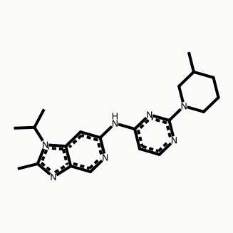 Cc1nc2cnc(Nc3ccnc(N4CCCC(C)C4)n3)cc2n1C(C)C